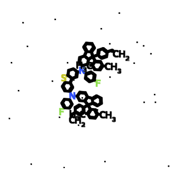 C=Cc1ccc(C2(C3=CC(C)=CCC3C)c3ccccc3C3C=CC(N(C4=CC5C(CC4)SC4C=CC(N(C6C=CC7c8ccccc8C(c8ccc(C=C)cc8)(c8cc(C)ccc8C)C7C6)C6CC=C(F)CC6)=CC45)c4ccc(F)cc4)CC32)cc1